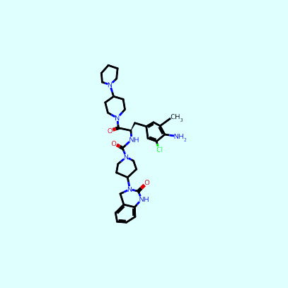 Cc1cc(C[C@@H](NC(=O)N2CCC(N3Cc4ccccc4NC3=O)CC2)C(=O)N2CCC(N3CCCCC3)CC2)cc(Cl)c1N